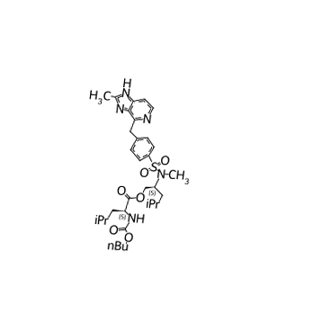 CCCCOC(=O)N[C@@H](CC(C)C)C(=O)OC[C@H](CC(C)C)N(C)S(=O)(=O)c1ccc(Cc2nccc3[nH]c(C)nc23)cc1